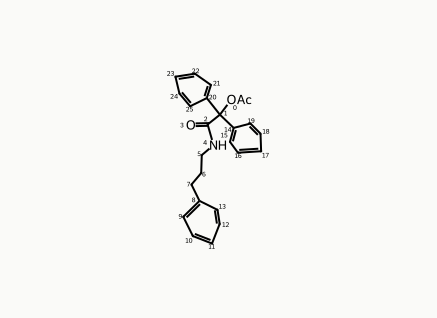 CC(=O)OC(C(=O)NCCCc1ccccc1)(c1ccccc1)c1ccccc1